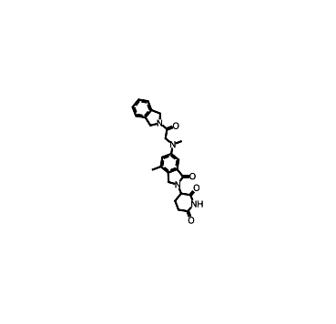 Cc1cc(N(C)CC(=O)N2Cc3ccccc3C2)cc2c1CN(C1CCC(=O)NC1=O)C2=O